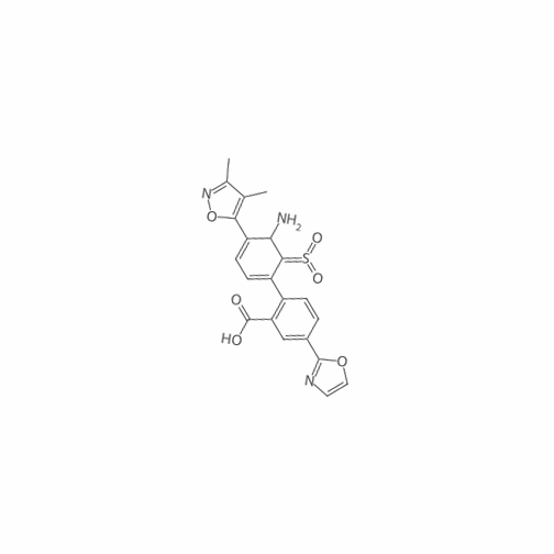 Cc1noc(C2=CC=C(c3ccc(-c4ncco4)cc3C(=O)O)C(=S(=O)=O)C2N)c1C